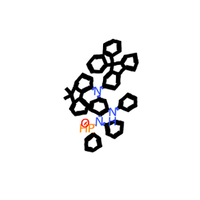 CC1(C)c2ccccc2-c2c(N(c3ccc(N(c4ccccc4)[PH](=O)c4ccccc4)c(Nc4ccccc4)c3)c3ccc4c(c3)C(c3ccccc3)(c3ccccc3)c3ccccc3-4)cccc21